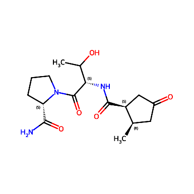 CC(O)[C@H](NC(=O)[C@H]1CC(=O)C[C@H]1C)C(=O)N1CCC[C@H]1C(N)=O